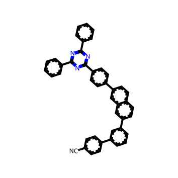 N#Cc1ccc(-c2cccc(-c3ccc4ccc(-c5ccc(-c6nc(-c7ccccc7)nc(-c7ccccc7)n6)cc5)cc4c3)c2)cc1